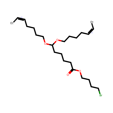 CC/C=C\CCCCOC(CCCCC(=O)OCCCCBr)OCCCC/C=C\CC